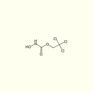 O=C(NO)OCC(Cl)(Cl)Cl